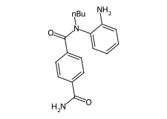 CCCCN(C(=O)c1ccc(C(N)=O)cc1)c1ccccc1N